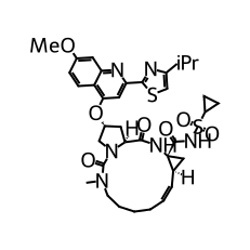 COc1ccc2c(O[C@@H]3C[C@H]4C(=O)N[C@]5(C(=O)NS(=O)(=O)C6CC6)C[C@H]5/C=C\CCCCN(C)C(=O)N4C3)cc(-c3nc(C(C)C)cs3)nc2c1